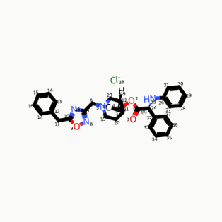 O=C(O[C@H]1C[N+]2(Cc3noc(Cc4ccccc4)n3)CCC1CC2)[C@H](Nc1ccccc1)c1ccccc1.[Cl-]